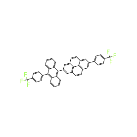 FC(F)(F)c1ccc(-c2cc3ccc4cc(-c5c6ccccc6c(-c6ccc(C(F)(F)F)cc6)c6ccccc56)cc5ccc(c2)c3c45)cc1